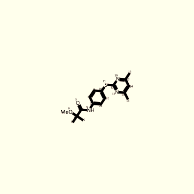 COC(C)(C)C(=O)Nc1ccc(Sc2nc(C)cc(C)n2)cc1